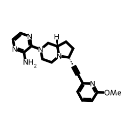 COc1cccc(C#C[C@H]2CC[C@H]3CN(c4nccnc4N)CCN32)n1